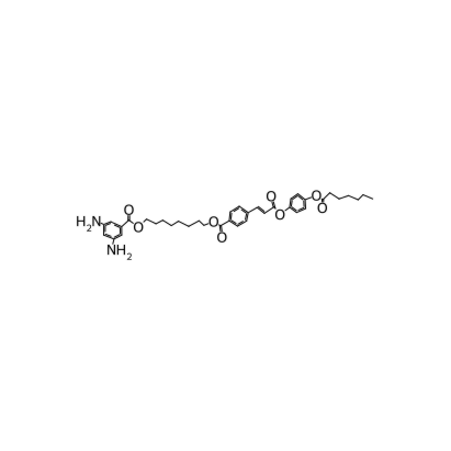 CCCCCCC(=O)Oc1ccc(OC(=O)C=Cc2ccc(C(=O)OCCCCCCCCOC(=O)c3cc(N)cc(N)c3)cc2)cc1